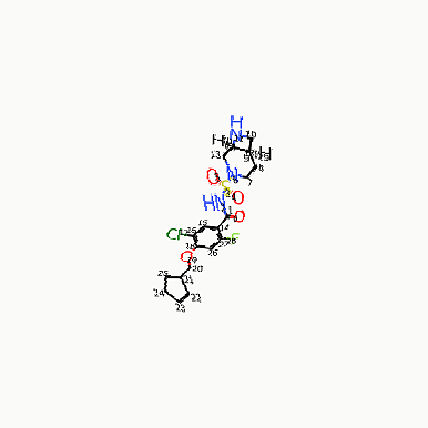 O=C(NS(=O)(=O)N1CC[C@@H]2CN[C@@H]2C1)c1cc(Cl)c(OCC2CCCC2)cc1F